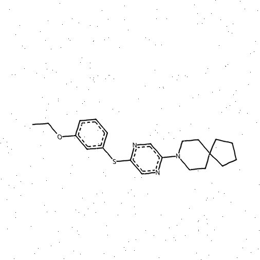 CCOc1cccc(Sc2cnc(N3CCC4(CCCC4)CC3)cn2)c1